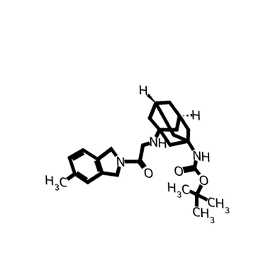 Cc1ccc2c(c1)CN(C(=O)CNC13C[C@H]4C[C@@H](C1)CC(NC(=O)OC(C)(C)C)(C4)C3)C2